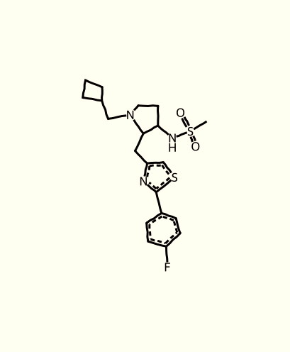 CS(=O)(=O)NC1CCN(CC2CCC2)C1Cc1csc(-c2ccc(F)cc2)n1